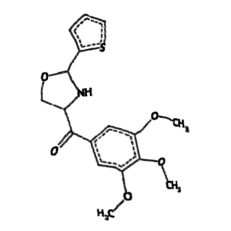 COc1cc(C(=O)C2COC(c3cccs3)N2)cc(OC)c1OC